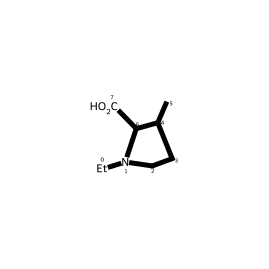 CCN1CCC(C)C1C(=O)O